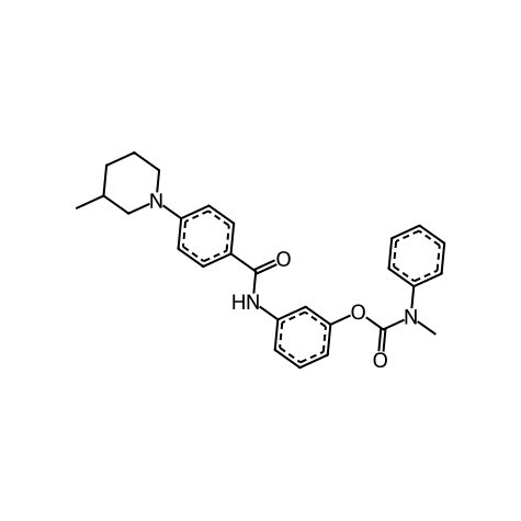 CC1CCCN(c2ccc(C(=O)Nc3cccc(OC(=O)N(C)c4ccccc4)c3)cc2)C1